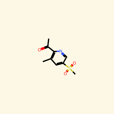 CC(=O)c1ncc(S(C)(=O)=O)cc1C